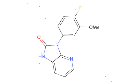 COc1cc(-n2c(=O)[nH]c3cccnc32)ccc1F